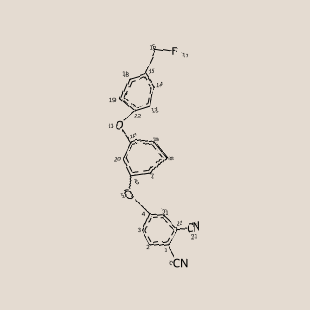 N#Cc1ccc(Oc2cccc(Oc3ccc(CF)cc3)c2)cc1C#N